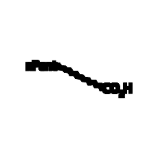 CCCCCC=CCC=CCC=CCCCCCCCCC(=O)O